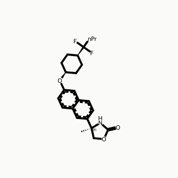 CCCC(F)(F)[C@H]1CC[C@@H](Oc2ccc3cc([C@]4(C)COC(=O)N4)ccc3c2)CC1